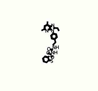 CCc1nc2c(C)cc(C)nc2n1-c1ccc(CCNC(=O)NS(=O)(=O)C2=CC=CCC2=S)cc1